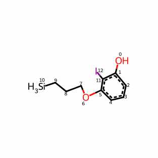 Oc1cccc(OCCC[SiH3])c1I